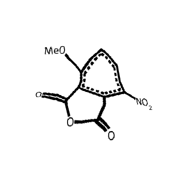 COc1ccc([N+](=O)[O-])c2c1C(=O)OC2=O